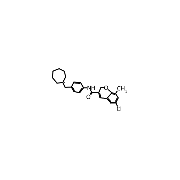 Cc1cc(Cl)cc2c1OCC(C(=O)Nc1ccc(C[C]3CCCCCC3)cc1)=C2